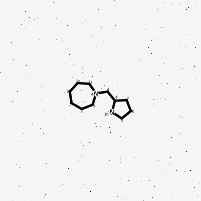 C1CCCN(CC2CCC[N]2)CC1